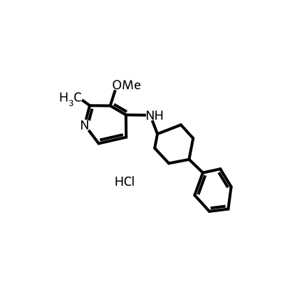 COc1c(NC2CCC(c3ccccc3)CC2)ccnc1C.Cl